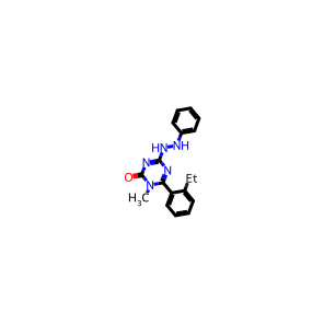 CCc1ccccc1-c1nc(NNc2ccccc2)nc(=O)n1C